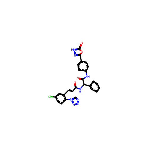 O=C(/C=C/c1cc(Cl)ccc1-n1cnnn1)NC(C(=O)Nc1ccc(-c2n[nH]c(=O)o2)cc1)c1ccccc1